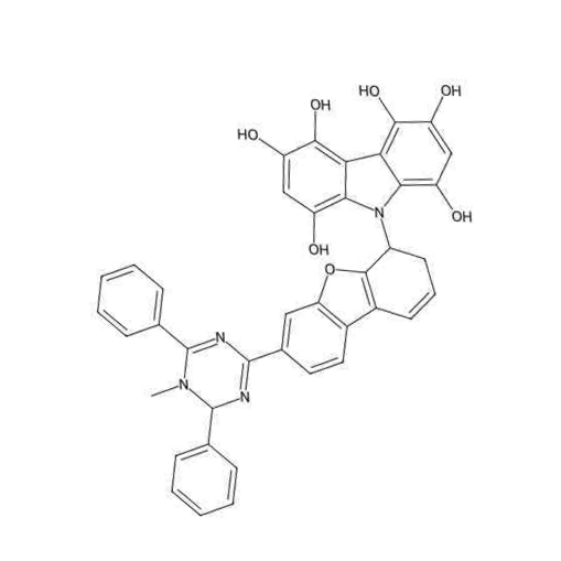 CN1C(c2ccccc2)=NC(c2ccc3c4c(oc3c2)C(n2c3c(O)cc(O)c(O)c3c3c(O)c(O)cc(O)c32)CC=C4)=NC1c1ccccc1